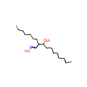 CCCCCCCCC(O)C(C=NO)CCCCCCC